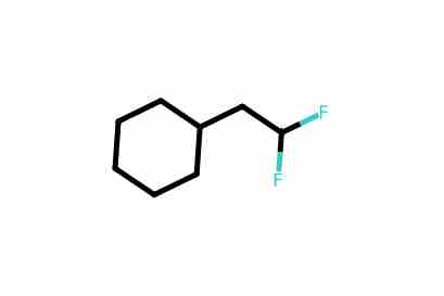 F[C](F)CC1CCCCC1